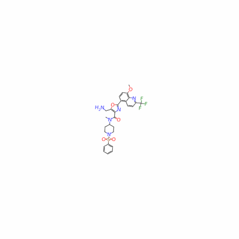 COc1ccc(-c2nc(C(=O)N(C)C3CCN(S(=O)(=O)c4ccccc4)CC3)c(CN)o2)c2ccc(C(F)(F)F)nc12